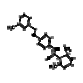 Cc1cccc(COc2ccc(NC(=O)c3c(C)ccnc3N)cc2)c1